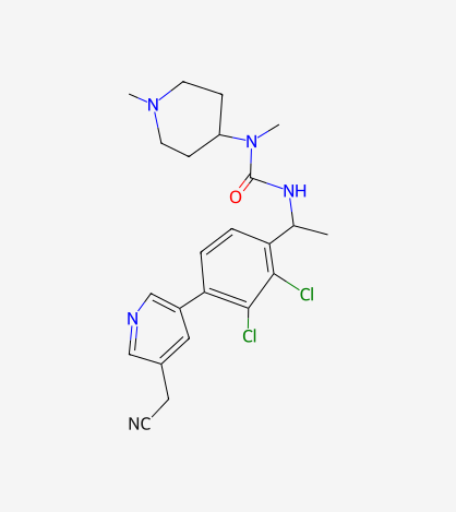 CC(NC(=O)N(C)C1CCN(C)CC1)c1ccc(-c2cncc(CC#N)c2)c(Cl)c1Cl